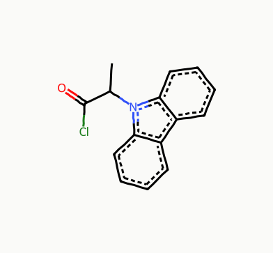 CC(C(=O)Cl)n1c2ccccc2c2ccccc21